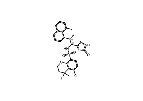 Cc1cccc2cccc([C@@H](C)[C@H](NS(=O)(=O)c3ccc(Cl)c4c3OCCC4(C)F)c3n[nH]c(=O)o3)c12